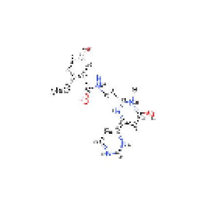 COc1ccc(Br)cc1C(=O)NCCc1nc(-c2ccncn2)cc(=O)n1C